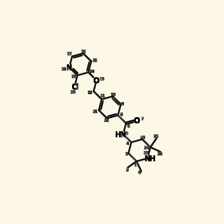 CC1(C)CC(NC(=O)c2ccc(COc3cccnc3Cl)cc2)CC(C)(C)N1